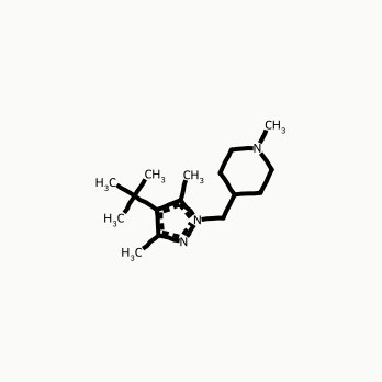 Cc1nn(CC2CCN(C)CC2)c(C)c1C(C)(C)C